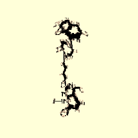 Cc1nc(OCCCCN2CCN(c3cccc4c3OCC4)CC2)nc2[nH]c(=O)ccc12